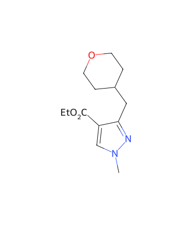 CCOC(=O)c1cn(C)nc1CC1CCOCC1